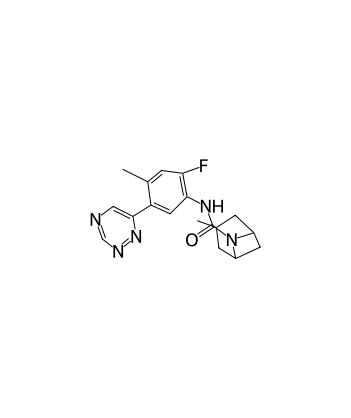 Cc1cc(F)c(NC(=O)N2C3CC(C)CC2C3)cc1-c1cncnn1